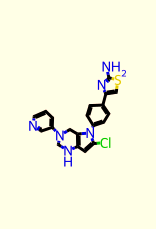 Nc1nc(-c2ccc(-n3c(Cl)cc4c3CN(c3cccnc3)CN4)cc2)cs1